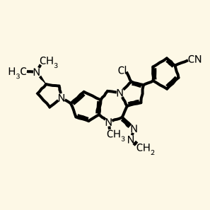 C=N/N=C1/c2cc(-c3ccc(C#N)cc3)c(Cl)n2Cc2cc(N3CC[C@@H](N(C)C)C3)ccc2N1C